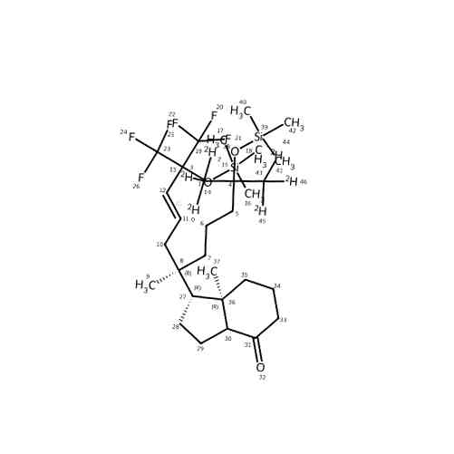 [2H]C([2H])([2H])C(CCC[C@](C)(C/C=C/C(O[Si](C)(C)C)(C(F)(F)F)C(F)(F)F)[C@H]1CCC2C(=O)CCC[C@@]21C)(O[Si](C)(C)C)C([2H])([2H])[2H]